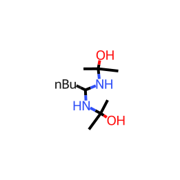 CCCCC(NC(C)(C)O)NC(C)(C)O